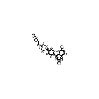 O=COCCN1CCN(c2ccc(-c3nc(Cl)nc4ccc(Cl)cc34)cc2)CC1